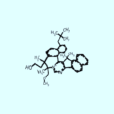 COCC1(C)[n+]2cnc3c(c2-c2c(ccc4c(CC(C)(C)C)cccc24)C1(C)CCO)C(C)(C)c1c-3ccc2ccccc12